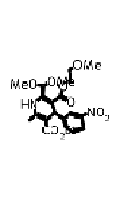 CCOC(=O)C1=C(C)NC(C(OC)OC)=C(C(=O)OCCOC)C1c1cccc([N+](=O)[O-])c1